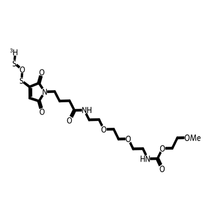 [3H]SOSC1=CC(=O)N(CCCC(=O)NCCOCCOCCNC(=O)OCCOC)C1=O